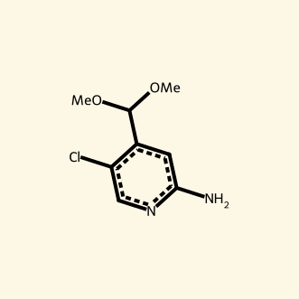 COC(OC)c1cc(N)ncc1Cl